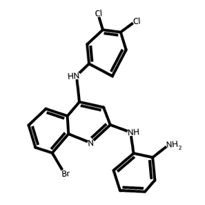 Nc1ccccc1Nc1cc(Nc2ccc(Cl)c(Cl)c2)c2cccc(Br)c2n1